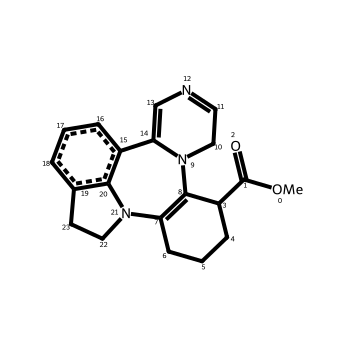 COC(=O)C1CCCC2=C1N1CC=NC=C1c1cccc3c1N2CC3